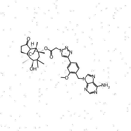 COc1cc(-c2cn(CC(=O)O[C@@H]3CC(C)(C)[C@@H](O)[C@H](C)[C@]45CCC(=O)[C@H]4[C@@]3(C)[C@H](C)CC5)nn2)ccc1Cn1cnc2c(N)ncnc21